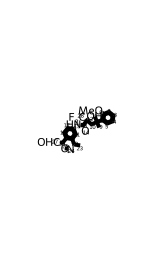 COc1ccccc1C(C)(C)CC(O)(C(=O)Nc1ccc2c(c1)C(C)=NOC2C=O)C(F)(F)F